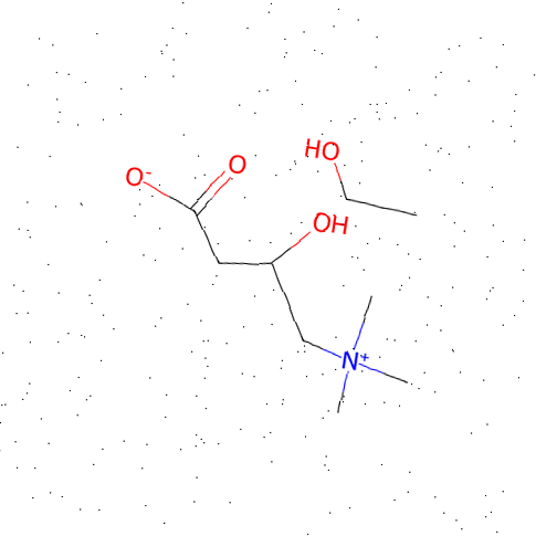 CCO.C[N+](C)(C)CC(O)CC(=O)[O-]